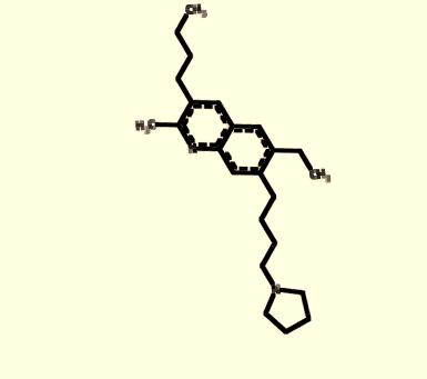 CCCCc1cc2cc(CC)c(CCCCN3CCCC3)cc2nc1C